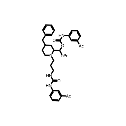 CCCC(OC(=O)Nc1cccc(C(C)=O)c1)C1CC(Cc2ccccc2)CCN1CCCNC(=O)Nc1cccc(C(C)=O)c1